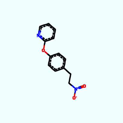 O=[N+]([O-])CCc1ccc(Oc2ccccn2)cc1